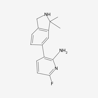 CC1(C)NCc2ccc(-c3ccc(F)nc3N)cc21